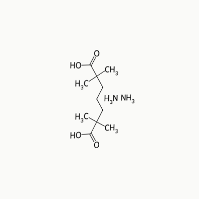 CC(C)(CCCC(C)(C)C(=O)O)C(=O)O.N.N